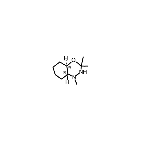 CN1NC(C)(C)O[C@@H]2CCCC[C@H]21